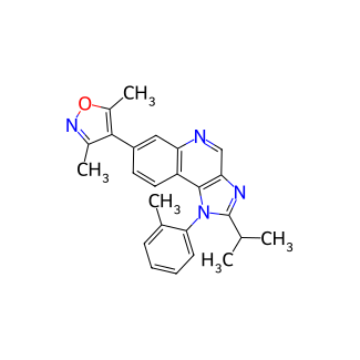 Cc1ccccc1-n1c(C(C)C)nc2cnc3cc(-c4c(C)noc4C)ccc3c21